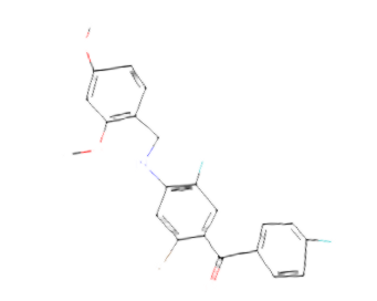 COc1ccc(CNc2cc(Br)c(C(=O)c3ccc(F)cc3)cc2F)c(OC)c1